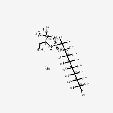 CCC(NS(=O)(=O)C(F)(F)C(F)(F)C(F)(F)C(F)(F)C(F)(F)C(F)(F)C(F)(F)C(F)(F)F)[N+](C)(C)C.[Cl-]